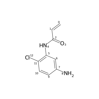 C=CC(=O)Nc1cc(N)ccc1Cl